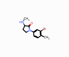 CNC1CCN(c2ccc(C)c(Br)c2)C1=O